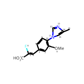 COc1cc(C=C(F)C(=O)O)ccc1-n1cnc(C)c1